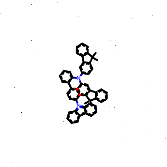 CC1(C)c2ccccc2-c2cc(N(c3ccc4c(c3)-c3ccccc3C4(C)C)c3ccccc3-c3ccc(-n4c5ccccc5c5ccccc54)cc3)ccc21